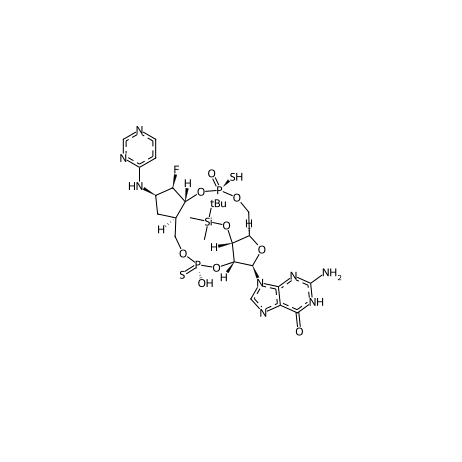 CC(C)(C)[Si](C)(C)O[C@H]1[C@H]2O[P@@](O)(=S)OC[C@H]3C[C@@H](Nc4ccncn4)[C@@H](F)[C@@H]3O[P@@](=O)(S)OC[C@H]1O[C@H]2n1cnc2c(=O)[nH]c(N)nc21